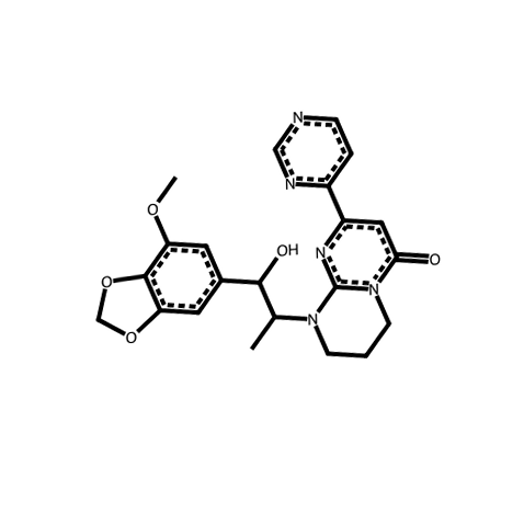 COc1cc(C(O)C(C)N2CCCn3c2nc(-c2ccncn2)cc3=O)cc2c1OCO2